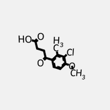 COc1ccc(C(=O)CCC(=O)O)c(C)c1Cl